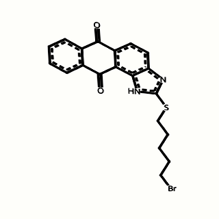 O=C1c2ccccc2C(=O)c2c1ccc1nc(SCCCCCBr)[nH]c21